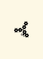 O=c1oc2ccccc2c2ccc(N(c3ccc(-c4ccccc4)cc3)c3ccc(-c4ccccc4)cc3)cc12